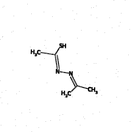 CC(C)=N/N=C(/C)S